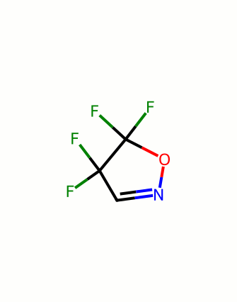 FC1(F)C=NOC1(F)F